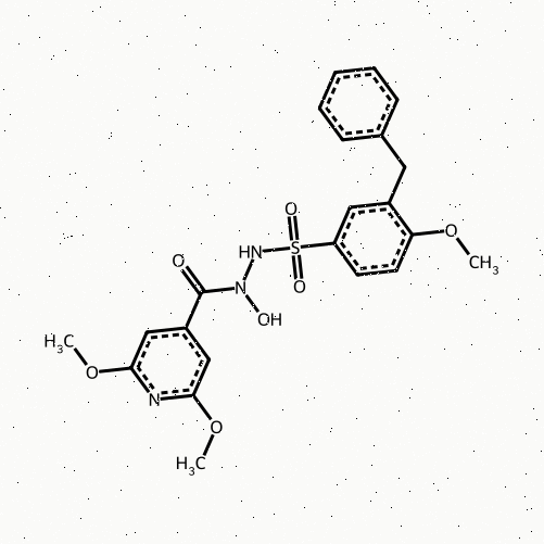 COc1cc(C(=O)N(O)NS(=O)(=O)c2ccc(OC)c(Cc3ccccc3)c2)cc(OC)n1